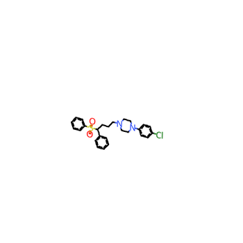 O=S(=O)(c1ccccc1)C(CCCN1CCN(c2ccc(Cl)cc2)CC1)c1ccccc1